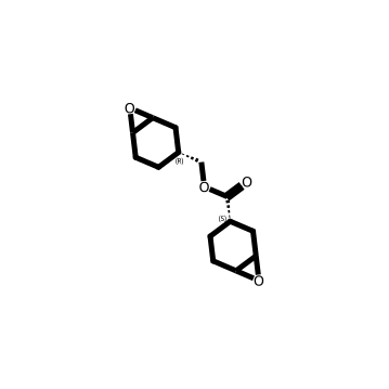 O=C(OC[C@@H]1CCC2OC2C1)[C@H]1CCC2OC2C1